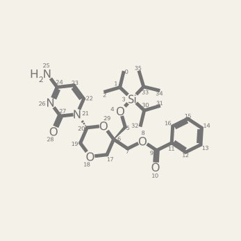 CC(C)[Si](OC[C@@]1(COC(=O)c2ccccc2)COC[C@H](n2ccc(N)nc2=O)O1)(C(C)C)C(C)C